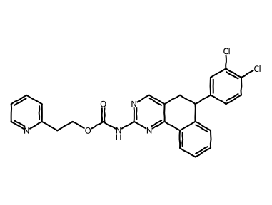 O=C(Nc1ncc2c(n1)-c1ccccc1C(c1ccc(Cl)c(Cl)c1)C2)OCCc1ccccn1